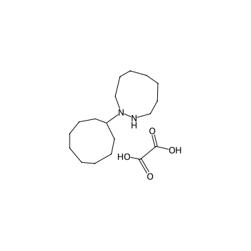 C1CCCCC(N2CCCCCCCN2)CCC1.O=C(O)C(=O)O